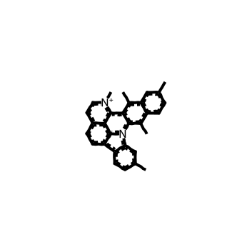 Cc1ccc2c(C)c3c(c(C)c2c1)c1c2c(ccc4c5ccc(C)cc5n3c42)cc[n+]1C